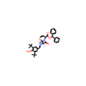 CC(C)(C)c1cc(C=N[C@]2(C)C(=O)N3C(C(=O)OC(c4ccccc4)c4ccccc4)C=CS[C@H]32)cc(C(C)(C)C)c1O